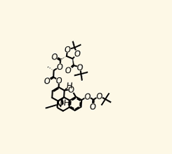 C[C@H](OC(=O)[C@@H]1OC(C)(C)O[C@H]1C(=O)OC(C)(C)C)C(=O)OC1=CC[C@]2(O)C3Cc4ccc(OC(=O)OC(C)(C)C)c5c4[C@@]2(CCN3C)[C@H]1O5